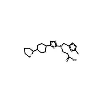 Cc1ccc(CN(CCC(=O)O)c2nc(C3CCC(C4CCCCC4)CC3)cs2)s1